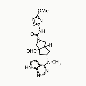 COc1nsc(NC(=O)N2C[C@@H]3C[C@H](N(C)c4ncnc5[nH]ccc45)CC3(C=O)C2)n1